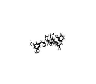 COc1cc(CC(=O)NC(=N)N[C@H](CC2CCCCC2)C(=O)NCC(C)C)cc(OC)c1